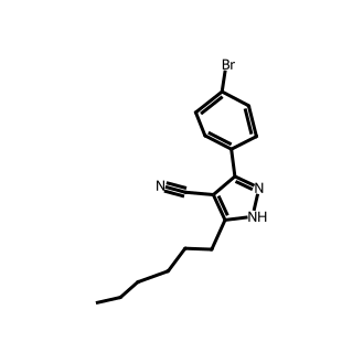 CCCCCCc1[nH]nc(-c2ccc(Br)cc2)c1C#N